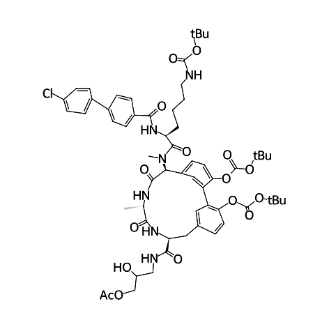 CC(=O)OCC(O)CNC(=O)[C@@H]1Cc2ccc(OC(=O)OC(C)(C)C)c(c2)-c2cc(ccc2OC(=O)OC(C)(C)C)[C@H](N(C)C(=O)[C@H](CCCCNC(=O)OC(C)(C)C)NC(=O)c2ccc(-c3ccc(Cl)cc3)cc2)C(=O)N[C@@H](C)C(=O)N1